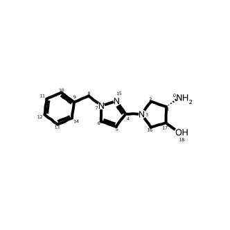 N[C@H]1CN(c2ccn(Cc3ccccc3)n2)CC1O